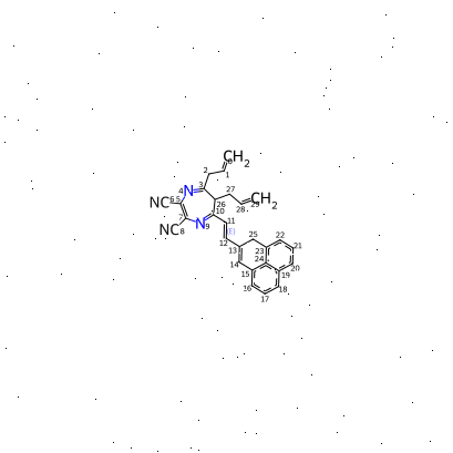 C=CCC1=NC(C#N)=C(C#N)N=C(/C=C/C2=Cc3cccc4cccc(c34)C2)C1CC=C